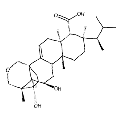 CC(C)[C@@H](C)[C@@]1(C)CC[C@]2(C)C3CC[C@@H]4[C@@]5(COC[C@@]4(C)[C@@H](O)[C@H](O)C5)C3=CC[C@@]2(C)[C@@H]1C(=O)O